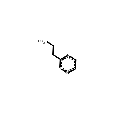 O=C(O)CCc1nccnn1